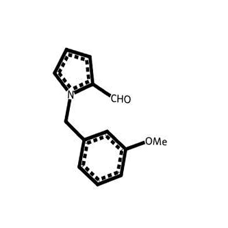 COc1cccc(Cn2cccc2C=O)c1